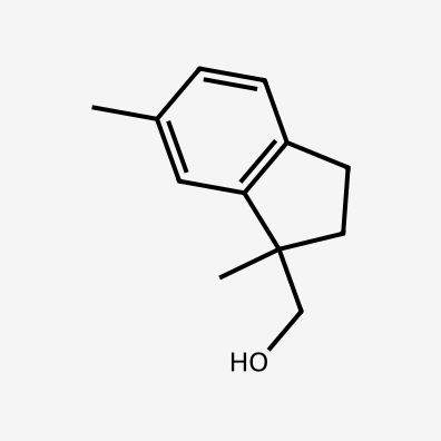 Cc1ccc2c(c1)C(C)(CO)CC2